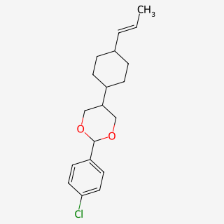 C/C=C/C1CCC(C2COC(c3ccc(Cl)cc3)OC2)CC1